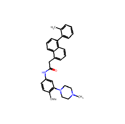 COc1ccc(NC(=O)Cc2cccc3c(-c4ccccc4C)cccc23)cc1N1CCN(C)CC1